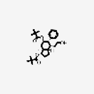 CC(C)(C)C(=O)O[C@H]1CC[C@H]2[C@H](CCO)[C@@H](c3ccccc3)[C@H](OC(=O)C(C)(C)C)C[C@]12C